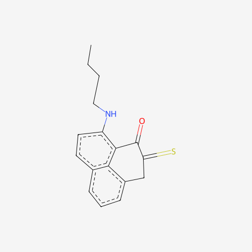 CCCCNc1ccc2cccc3c2c1C(=O)C(=S)C3